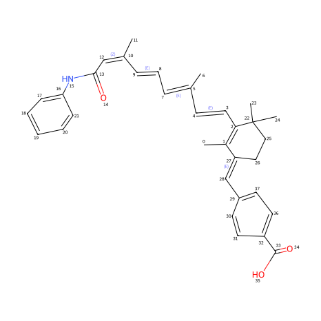 CC1=C(/C=C/C(C)=C/C=C/C(C)=C\C(=O)Nc2ccccc2)C(C)(C)CC/C1=C\c1ccc(C(=O)O)cc1